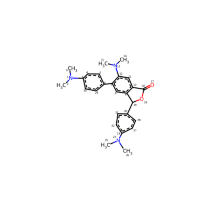 CN(C)c1ccc(-c2cc3c(cc2N(C)C)C(=O)OC3c2ccc(N(C)C)cc2)cc1